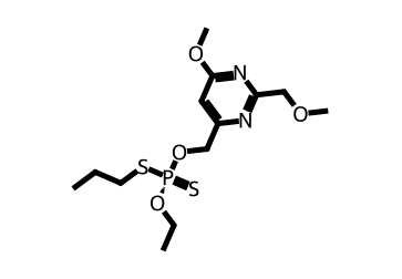 CCCS[P@@](=S)(OCC)OCc1cc(OC)nc(COC)n1